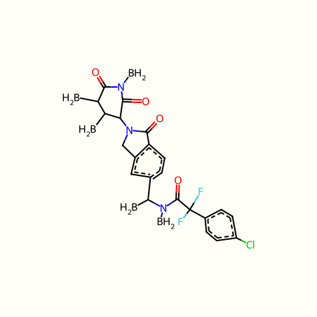 BC1C(=O)N(B)C(=O)C(N2Cc3cc(C(B)N(B)C(=O)C(F)(F)c4ccc(Cl)cc4)ccc3C2=O)C1B